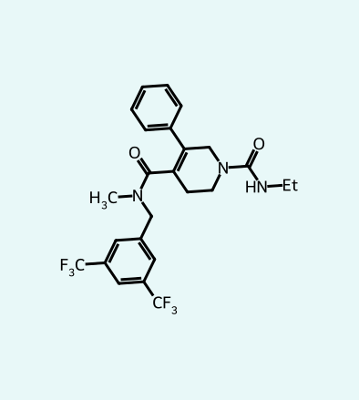 CCNC(=O)N1CCC(C(=O)N(C)Cc2cc(C(F)(F)F)cc(C(F)(F)F)c2)=C(c2ccccc2)C1